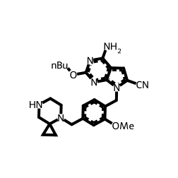 CCCCOc1nc(N)c2cc(C#N)n(Cc3ccc(CN4CCNCC45CC5)cc3OC)c2n1